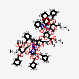 CCC1O[C@H](O[C@@H]2C(C(=O)OC)O[C@@H](O[C@@H]3C(COC(=O)c4ccccc4)O[C@H](OC)[C@@H](C)C3OCc3ccccc3)C(OC(=O)c3ccccc3)[C@@H]2OCc2ccccc2)[C@@H](N=[N+]=[N-])C(C)[C@@H]1O[C@@H]1OC(C(=O)OC)[C@@H](O[C@H]2OC(CC)[C@@H](OCc3ccccc3)[C@H](OCc3ccccc3)C2N=[N+]=[N-])[C@H](OCc2ccccc2)C1OCc1ccccc1